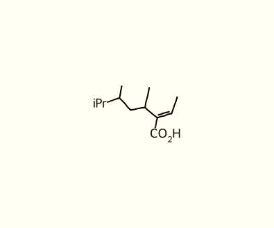 CC=C(C(=O)O)C(C)CC(C)C(C)C